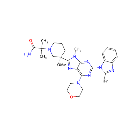 CO[C@@]1(c2nc3c(N4CCOCC4)nc(-n4c(C(C)C)nc5ccccc54)nc3n2C)CCCN(C(C)(C)C(N)=O)C1